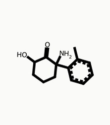 Cc1ccccc1C1(N)CCCC(O)C1=O